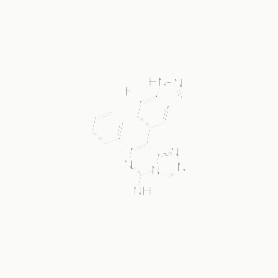 Nc1nc(-c2ccccc2)c(-c2cc(F)c3[nH]ncc3c2)c2nncn12